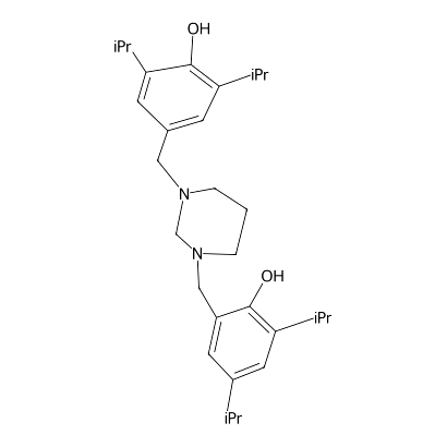 CC(C)c1cc(CN2CCCN(Cc3cc(C(C)C)c(O)c(C(C)C)c3)C2)c(O)c(C(C)C)c1